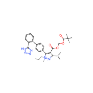 CCC[N+]1(C)N=C(C(C)C)C(C(=O)OCOC(=O)C(C)(C)C)=C1c1ccc(-c2ccccc2-c2nnn[nH]2)cc1